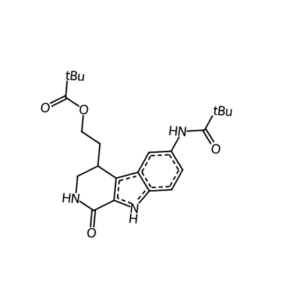 CC(C)(C)C(=O)Nc1ccc2[nH]c3c(c2c1)C(CCOC(=O)C(C)(C)C)CNC3=O